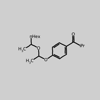 CCCCCCC(C)OC(C)Oc1ccc(C(=O)C(C)C)cc1